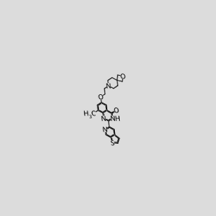 Cc1cc(OCCN2CCC3(CC2)COC3)cc2c(=O)[nH]c(-c3cc4ccsc4cn3)nc12